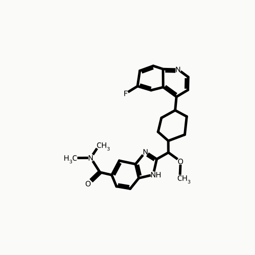 COC(c1nc2cc(C(=O)N(C)C)ccc2[nH]1)C1CCC(c2ccnc3ccc(F)cc23)CC1